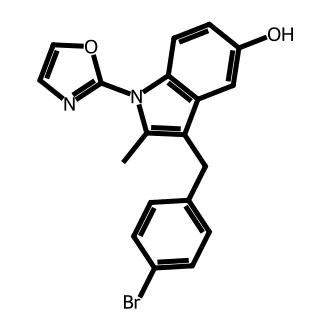 Cc1c(Cc2ccc(Br)cc2)c2cc(O)ccc2n1-c1ncco1